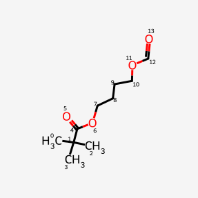 CC(C)(C)C(=O)OCCCCOC=O